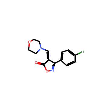 O=C1ON=C(c2ccc(Cl)cc2)/C1=C/N1CCOCC1